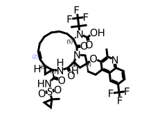 Cc1nc2ccc(C(F)(F)F)cc2c2c1O[C@]1(CC2)C[C@H]2C(=O)N[C@]3(C(=O)NS(=O)(=O)C4(C)CC4)C[C@H]3/C=C\CCCCC[C@H](N(C(=O)O)C(C)(C)C(F)(F)F)C(=O)N2C1